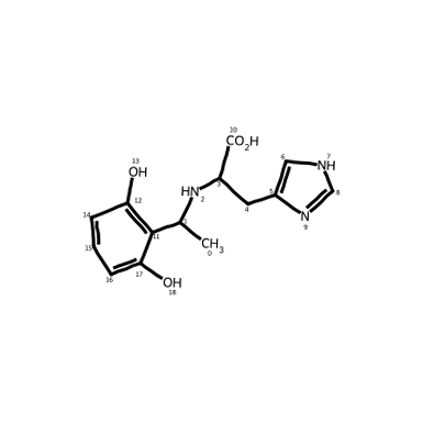 CC(NC(Cc1c[nH]cn1)C(=O)O)c1c(O)cccc1O